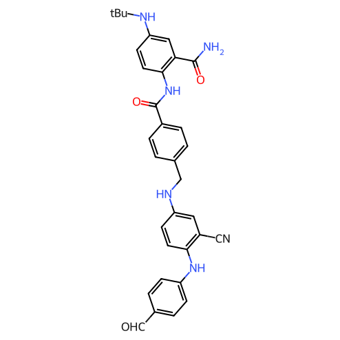 CC(C)(C)Nc1ccc(NC(=O)c2ccc(CNc3ccc(Nc4ccc(C=O)cc4)c(C#N)c3)cc2)c(C(N)=O)c1